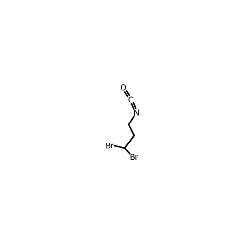 O=C=NCCC(Br)Br